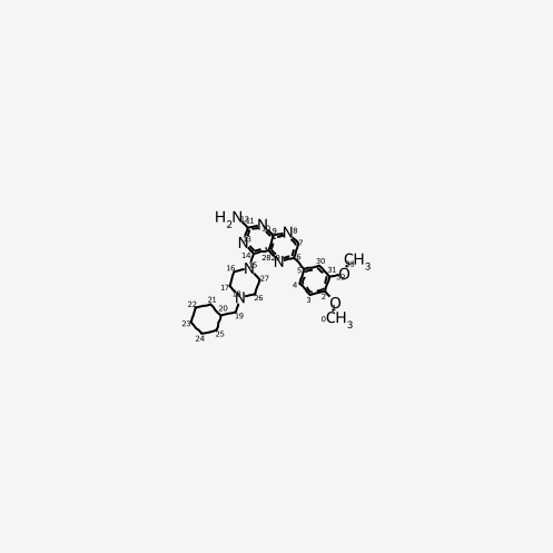 COc1ccc(-c2cnc3nc(N)nc(N4CCN(CC5CCCCC5)CC4)c3n2)cc1OC